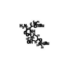 CC(O[Si](C)(C)C(C)(C)C)C(NC(=O)C1(CO)CCC(O[Si](C)(C)C(C)(C)C)CC1)C(N)=O